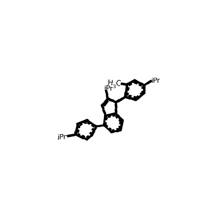 Cc1cc(C(C)C)ccc1C1C(C(C)C)=Cc2c(-c3ccc(C(C)C)cc3)cccc21